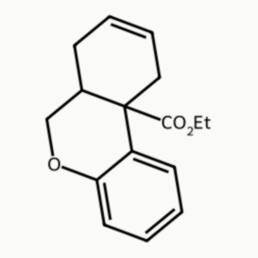 CCOC(=O)C12CC=CCC1COc1ccccc12